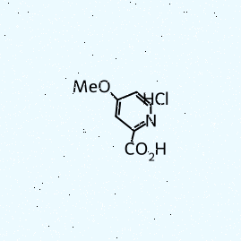 COc1ccnc(C(=O)O)c1.Cl